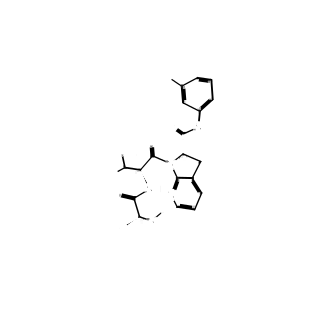 CN[C@@H](C)C(=O)N[C@H](C(=O)N1c2ncccc2C[C@H]1C(=O)Nc1cccc(F)c1)C(C)C